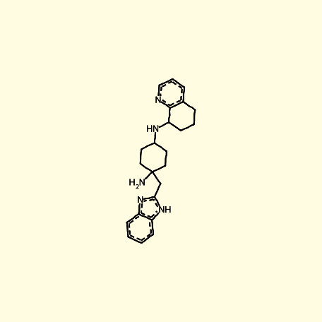 NC1(Cc2nc3ccccc3[nH]2)CCC(NC2CCCc3cccnc32)CC1